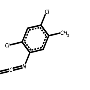 Cc1cc(N=C=O)c(Cl)cc1Cl